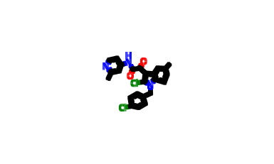 Cc1ccc2c(c1)c(C(=O)C(=O)Nc1ccnc(C)c1)c(Cl)n2Cc1ccc(Cl)cc1